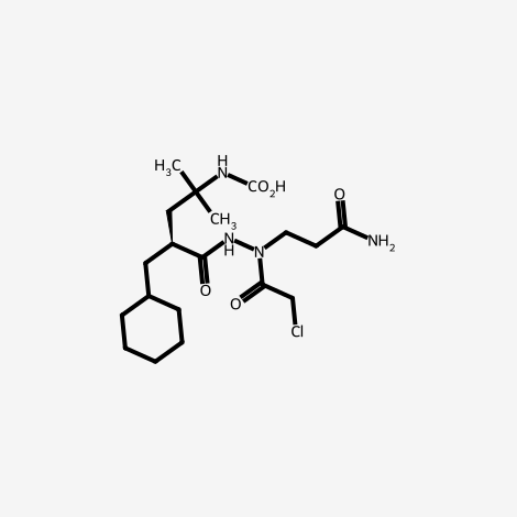 CC(C)(C[C@H](CC1CCCCC1)C(=O)NN(CCC(N)=O)C(=O)CCl)NC(=O)O